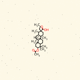 CCCC1(C(=O)O)CC[C@]2(C)C(CCC3C4(C)CCC(OC(C)=O)C(C)(C)C4CCC32C)C1C